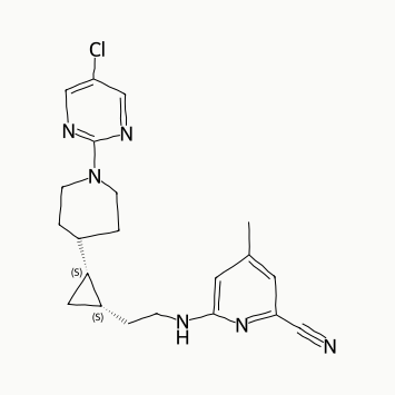 Cc1cc(C#N)nc(NCC[C@@H]2C[C@@H]2C2CCN(c3ncc(Cl)cn3)CC2)c1